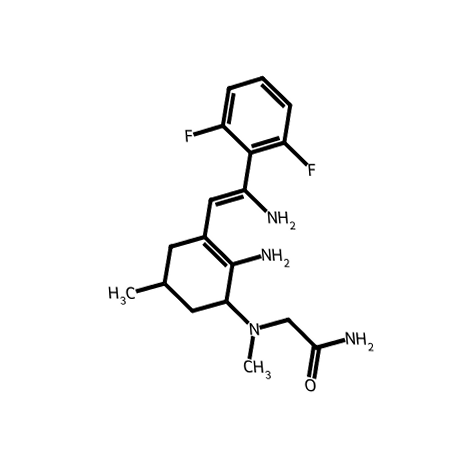 CC1CC(/C=C(\N)c2c(F)cccc2F)=C(N)C(N(C)CC(N)=O)C1